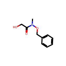 CN(OCc1ccccc1)C(=O)CO